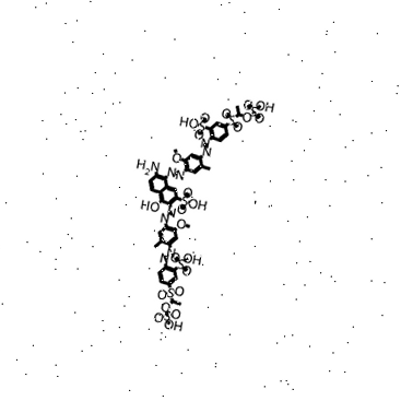 COc1cc(N=Nc2ccc(S(=O)(=O)C(C)OS(=O)(=O)O)cc2S(=O)(=O)O)c(C)cc1N=Nc1c(S(=O)(=O)O)cc2c(N=Nc3cc(C)c(N=Nc4ccc(S(=O)(=O)C(C)OS(=O)(=O)O)cc4S(=O)(=O)O)cc3OC)c(N)ccc2c1O